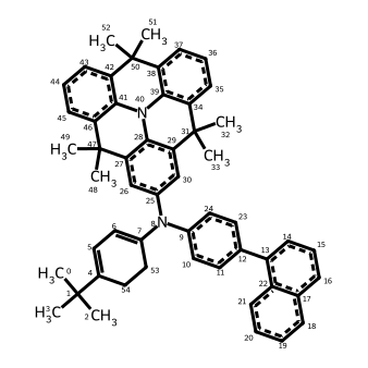 CC(C)(C)C1=CC=C(N(c2ccc(-c3cccc4ccccc34)cc2)c2cc3c4c(c2)C(C)(C)c2cccc5c2N4c2c(cccc2C3(C)C)C5(C)C)CC1